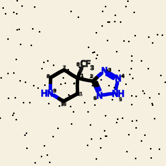 FC(F)(F)C1(c2nn[nH]n2)CCNCC1